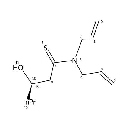 C=CCN(CC=C)C(=S)C[C@H](O)CCC